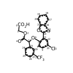 O=C(O)COC(=O)C(Oc1ccc(Cl)cc1-c1nc2ccccc2o1)c1cccc(C(F)(F)F)c1